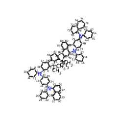 CC1(C)c2cc(N(c3ccccc3)c3ccc(N(c4ccccc4)c4cccc5ccccc45)cc3)ccc2-c2ccc3c(c21)C(C)(C)c1cc(N(c2ccccc2)c2ccc(N(c4ccccc4)c4cccc5ccccc45)cc2)c2ccccc2c1-3